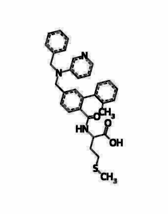 CSCCC(NC(=O)c1ccc(CN(Cc2ccccc2)c2cccnc2)cc1-c1ccccc1C)C(=O)O